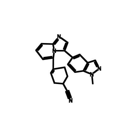 Cn1ncc2cc(-c3cnc4cccc(C5=CCC(C#N)CC5)n34)ccc21